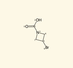 O=C(O)N1CC(Br)C1